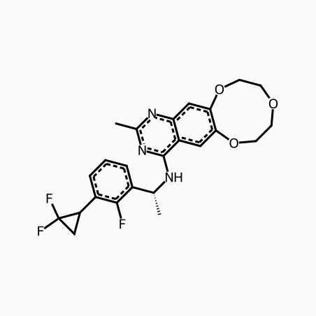 Cc1nc(N[C@H](C)c2cccc(C3CC3(F)F)c2F)c2cc3c(cc2n1)OCCOCCO3